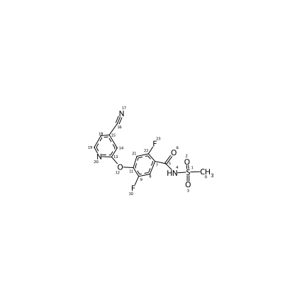 CS(=O)(=O)NC(=O)c1cc(F)c(Oc2cc(C#N)ccn2)cc1F